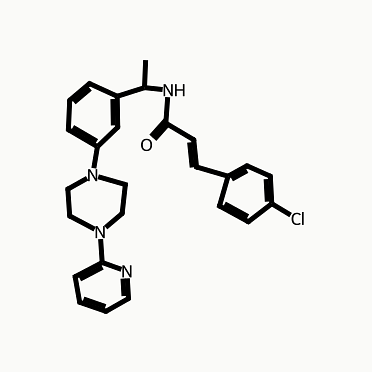 CC(NC(=O)C=Cc1ccc(Cl)cc1)c1cccc(N2CCN(c3ccccn3)CC2)c1